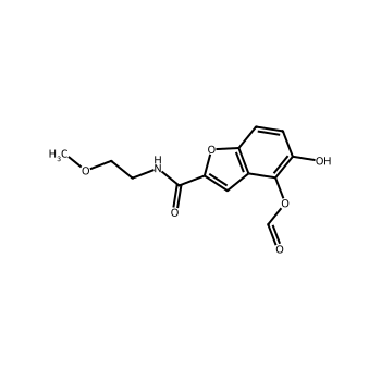 COCCNC(=O)c1cc2c(OC=O)c(O)ccc2o1